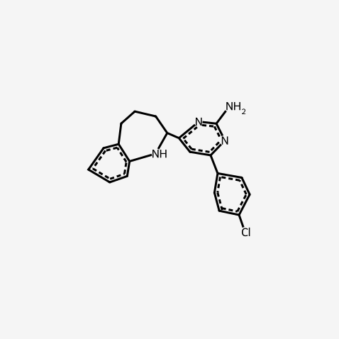 Nc1nc(-c2ccc(Cl)cc2)cc(C2CCCc3ccccc3N2)n1